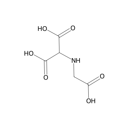 O=C(O)CNC(C(=O)O)C(=O)O